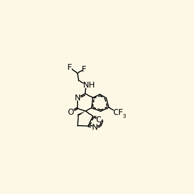 O=C1N=C(NCC(F)F)c2ccc(C(F)(F)F)cc2[C@@]12CCc1ncccc12